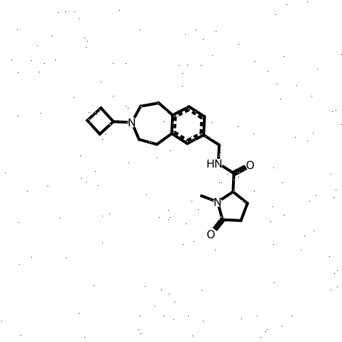 CN1C(=O)CCC1C(=O)NCc1ccc2c(c1)CCN(C1CCC1)CC2